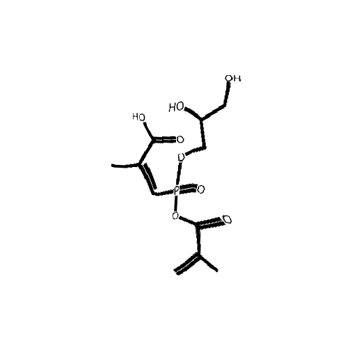 C=C(C)C(=O)OP(=O)(C=C(C)C(=O)O)OCC(O)CO